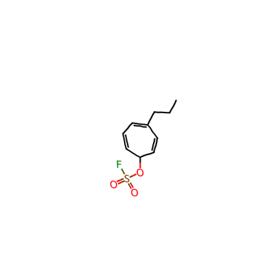 CCCC1=CC=CC(OS(=O)(=O)F)C=C1